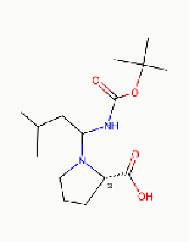 CC(C)CC(NC(=O)OC(C)(C)C)N1CCC[C@H]1C(=O)O